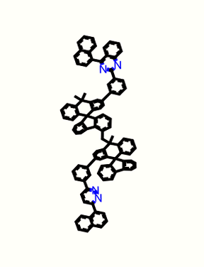 CC1(C)c2ccccc2C2(c3ccccc3-c3c(CC4(C)c5ccccc5C5(c6ccccc6-c6ccccc65)c5cc(-c6cccc(-c7ccc(-c8cccc9ccccc89)nn7)c6)ccc54)cccc32)c2ccc(-c3cccc(-c4nc(-c5cccc6ccccc56)c5ccccc5n4)c3)cc21